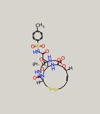 Cc1ccc(S(=O)(=O)NC(=O)CC[C@H]2NC(=O)C[C@H]3C=CCCSSC[C@@H](NC2=O)C(=O)N[C@H](C(C)C)C(=O)NCC(=O)O3)cc1